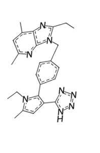 CCc1nc2c(C)cc(C)nc2n1Cc1ccc(-c2c(-c3nnn[nH]3)cc(C)n2CC)cc1